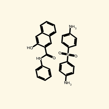 Nc1ccc(S(=O)(=O)c2ccc(N)cc2)cc1.O=C(Nc1ccccc1)c1cc2ccccc2cc1O